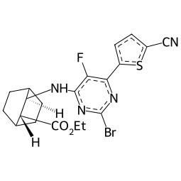 CCOC(=O)[C@@H]1C2CCC(CC2)[C@H]1Nc1nc(Br)nc(-c2ccc(C#N)s2)c1F